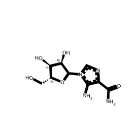 NC(=O)c1ncn(C2O[C@H](CO)[C@@H](O)[C@H]2O)c1N